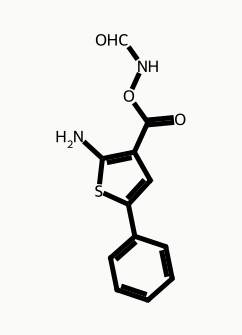 Nc1sc(-c2ccccc2)cc1C(=O)ONC=O